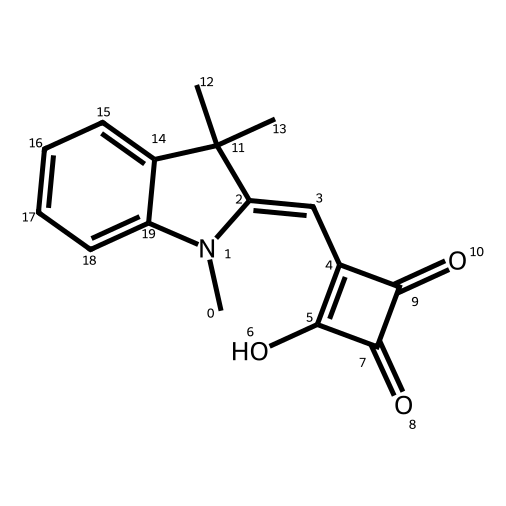 CN1C(=Cc2c(O)c(=O)c2=O)C(C)(C)c2ccccc21